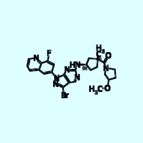 COC1CCN(C(=O)[C@]2(C)CC[C@@H](Nc3ncc4c(Br)nn(-c5cc(F)c6ncccc6c5)c4n3)C2)C1